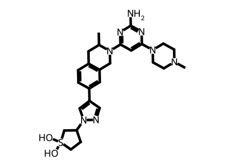 CC1Cc2ccc(-c3cnn(C4CCS(O)(O)C4)c3)cc2CN1c1cc(N2CCN(C)CC2)nc(N)n1